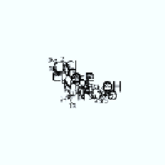 Cc1cc(Cl)c(C(=O)CN(CCC(C)C)C(=O)c2cnn([C@H]3CC[C@](C)(C(=O)O)CC3)c2C(F)(F)F)c(Cl)c1